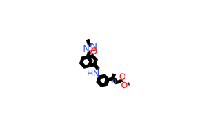 COC(=O)/C=C(\C)c1cccc(NCC2CCC3(c4nc(C)no4)CCCC2C3)c1